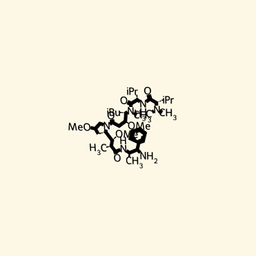 CCC(C)[C@@H]([C@@H](CC(=O)N1CC(OC)C[C@H]1[C@H](OC)[C@@H](C)C(=O)N[C@H](C)C(N)c1ccccc1)OC)N(C)C(=O)[C@@H](NC(=O)[C@H](C(C)C)N(C)C)C(C)C